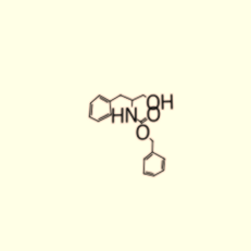 O=C(NC(CO)Cc1ccccc1)OCc1ccccc1